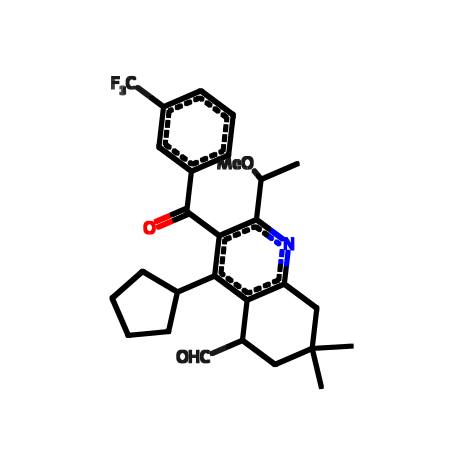 COC(C)c1nc2c(c(C3CCCC3)c1C(=O)c1cccc(C(F)(F)F)c1)C(C=O)CC(C)(C)C2